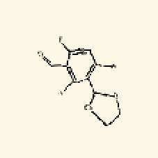 O=Cc1c(F)cc(Br)c(C2OCCO2)c1Br